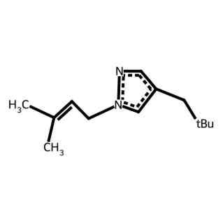 CC(C)=CCn1cc(CC(C)(C)C)cn1